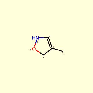 CC1=CNO[CH]1